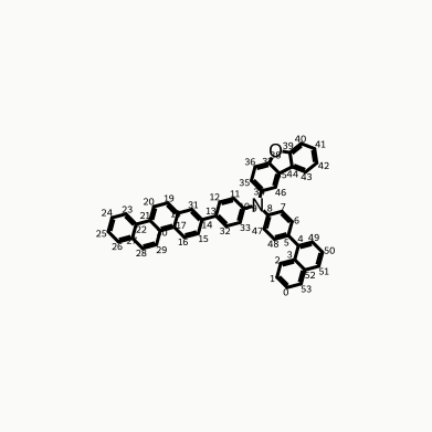 c1ccc2c(-c3ccc(N(c4ccc(-c5ccc6c(ccc7c8ccccc8ccc67)c5)cc4)c4ccc5oc6ccccc6c5c4)cc3)cccc2c1